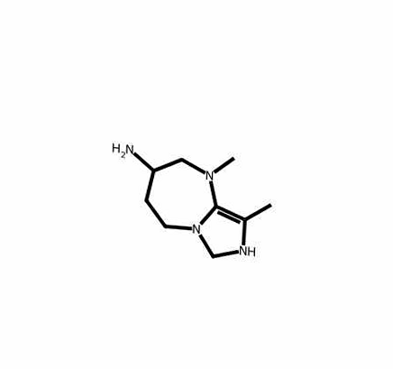 CC1=C2N(C)CC(N)CCN2CN1